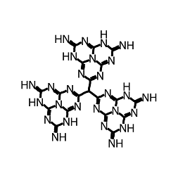 N=C1N=C2N=C(C(C3=NC4=NC(=N)NC5=NC(=N)NC(=N3)N45)C3=NC4=NC(=N)NC5=NC(=N)NC(=N3)N45)N=C3NC(=N)N=C(N1)N23